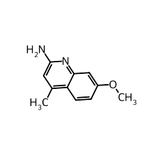 COc1ccc2c(C)cc(N)nc2c1